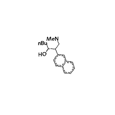 CCCCC(O)C(CNC)c1ccc2ccccc2c1